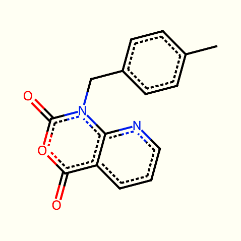 Cc1ccc(Cn2c(=O)oc(=O)c3cccnc32)cc1